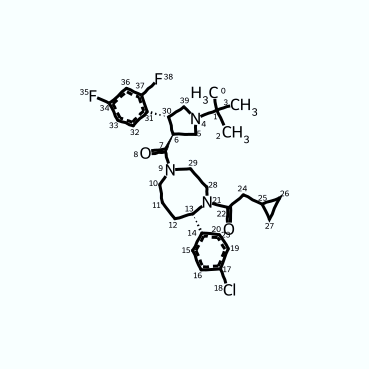 CC(C)(C)N1C[C@@H](C(=O)N2CCC[C@@H](c3ccc(Cl)cc3)N(C(=O)CC3CC3)CC2)[C@H](c2ccc(F)cc2F)C1